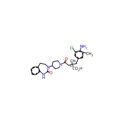 Cc1cc(C[C@@](C)(CC(=O)N2CCC(N3CCc4ccccc4NC3=O)CC2)C(=O)O)cc(Cl)c1N